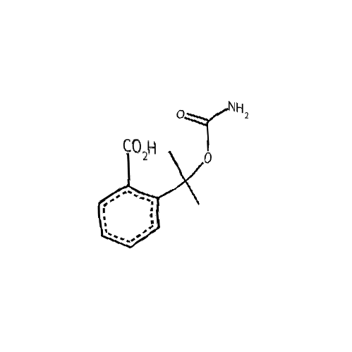 CC(C)(OC(N)=O)c1ccccc1C(=O)O